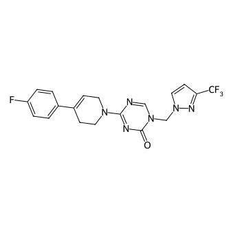 O=c1nc(N2CC=C(c3ccc(F)cc3)CC2)ncn1Cn1ccc(C(F)(F)F)n1